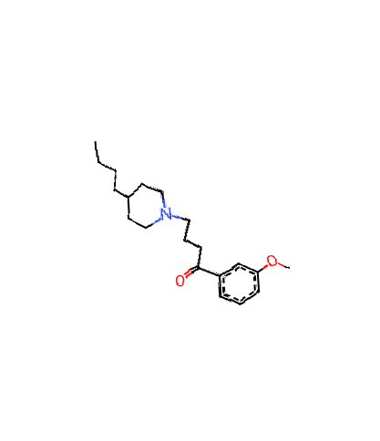 CCCCC1CCN(CCCC(=O)c2cccc(OC)c2)CC1